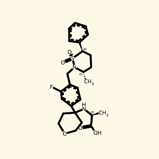 C[C@H](NC1(c2ccc(CN3[C@@H](C)CC[C@H](c4ccccc4)S3(=O)=O)c(F)c2)CCOCC1)C(=O)O